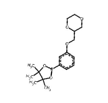 CC1(C)OB(c2cccc(OCC3COCCO3)c2)OC1(C)C